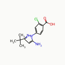 CC(C)(C)c1cc(N)n(-c2ccc(C(=O)O)c(Cl)c2)n1